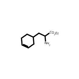 CCOC(=O)C(N)CC1CC=CCC1